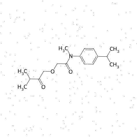 CC(C)C(=O)COCC(=O)N(C)c1ccc(C(C)C)cc1